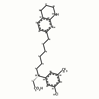 O=C(O)C[C@H](CCCCCCc1ccc2c(n1)NCCC2)c1cc(Cl)cc(C(F)(F)F)c1